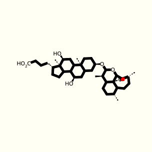 C[C@H]1C(O[C@@H]2CC[C@@]3(C)C(C2)C[C@@H](O)C2C3C[C@H](O)[C@@]3(C)C2CC[C@@H]3CCCC(=O)O)OC2O[C@]3(C)CCC4[C@H](C)CCC1[C@@]24OO3